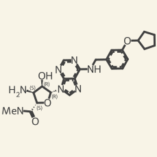 CNC(=O)[C@H]1O[C@@H](n2cnc3c(NCc4cccc(OC5CCCC5)c4)ncnc32)[C@H](O)[C@@H]1N